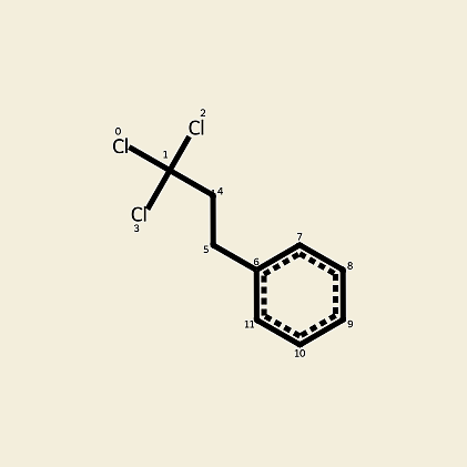 ClC(Cl)(Cl)[CH]Cc1ccccc1